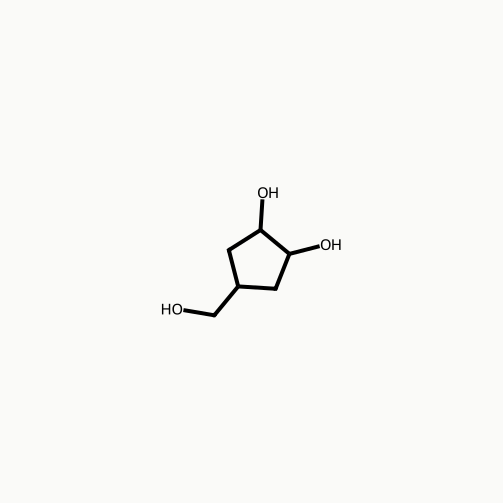 OCC1CC(O)C(O)C1